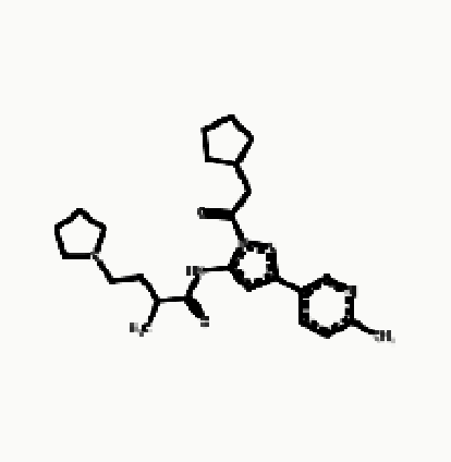 Cc1ccc(-c2cc(NC(=O)C(C)CCN3CCCC3)n(C(=O)CC3CCCC3)n2)cn1